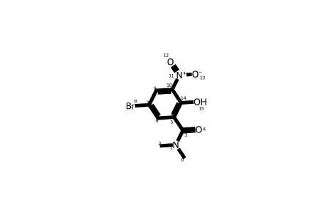 CN(C)C(=O)c1cc(Br)cc([N+](=O)[O-])c1O